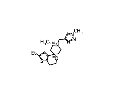 CCc1cc2c(s1)CCO[C@@]21CCN(Cc2cn(C)nn2)[C@@H](C)C1